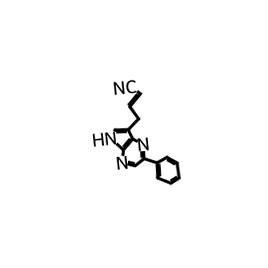 N#CC=CCc1c[nH]c2ncc(-c3ccccc3)nc12